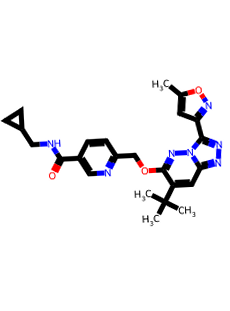 Cc1cc(-c2nnc3cc(C(C)(C)C)c(OCc4ccc(C(=O)NCC5CC5)cn4)nn23)no1